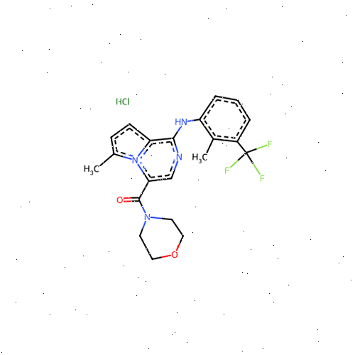 Cc1c(Nc2ncc(C(=O)N3CCOCC3)n3c(C)ccc23)cccc1C(F)(F)F.Cl